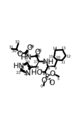 COP(=O)(OC)C(O)[C@H](CC1CCCCC1)N[C@@H](Cc1c[nH]cn1)C(=O)NC(=O)OC(C)C